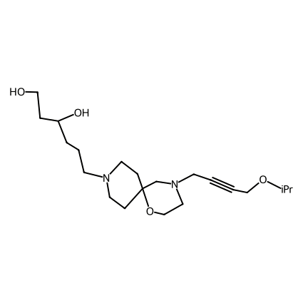 CC(C)OCC#CCN1CCOC2(CCN(CCCC(O)CCO)CC2)C1